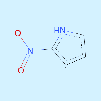 O=[N+]([O-])c1[c]cc[nH]1